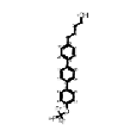 OCCCCc1ccc(-c2ccc(-c3ccc(OC(F)(F)F)cc3)cc2)cc1